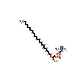 CCCCCCCCCCCCCCCCCCCCCCCCO[C@H](CO)COP(=O)([O-])OCC[N+](C)(C)C